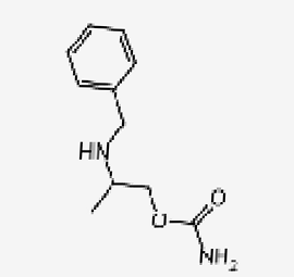 CC(COC(N)=O)NCc1ccccc1